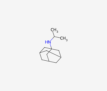 CC(C)NC12CC3CC(CC(C3)C1)C2